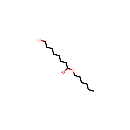 CCCCCCOC([O])CCCCCCCO